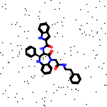 O=C(CN1C(=O)[C@H](NC(=O)c2cc3ccccc3[nH]2)[C@H](c2ccccc2)Nc2ccccc21)NCCc1ccccc1